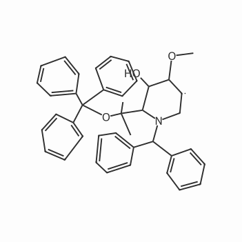 COC1[CH]CN(C(c2ccccc2)c2ccccc2)C(C(C)(C)OC(c2ccccc2)(c2ccccc2)c2ccccc2)C1O